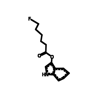 O=C(CCCCCF)Oc1c[nH]c2ccccc12